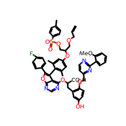 C=CCOCC(COS(=O)(=O)c1ccc(C)cc1)Oc1cc(C)c(-c2c(-c3ccc(F)cc3)oc3ncnc(OC(Cc4cc(O)ccc4OCc4ccnc(-c5ccccc5OC)n4)C(=O)O)c23)c(C)c1